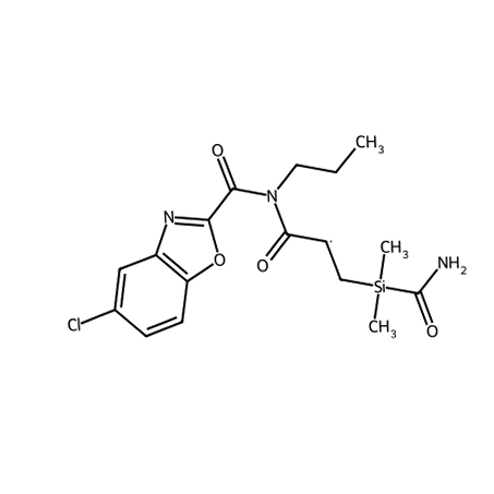 CCCN(C(=O)[CH]C[Si](C)(C)C(N)=O)C(=O)c1nc2cc(Cl)ccc2o1